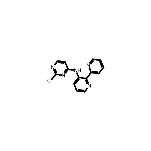 Clc1nccc(Nc2cccnc2-c2ccccn2)n1